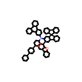 c1ccc(-c2ccc(-c3ccc(N(c4ccc5c6ccccc6c6ccccc6c5c4)c4cc5c(cc4-c4cccc6c4oc4ccccc46)-c4ccccc4C54c5ccccc5-c5ccccc54)cc3)cc2)cc1